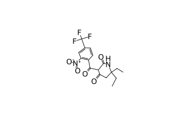 CCC1(CC)CC(=O)C(C(=O)c2ccc(C(F)(F)F)cc2[N+](=O)[O-])C(=O)N1